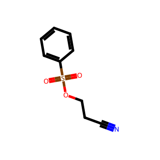 N#CCCOS(=O)(=O)c1ccccc1